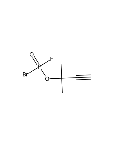 C#CC(C)(C)OP(=O)(F)Br